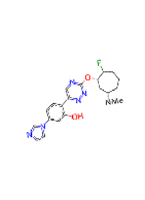 CNC1CCCC(F)[C@@H](Oc2ncc(-c3ccc(-n4ccnc4)cc3O)nn2)C1